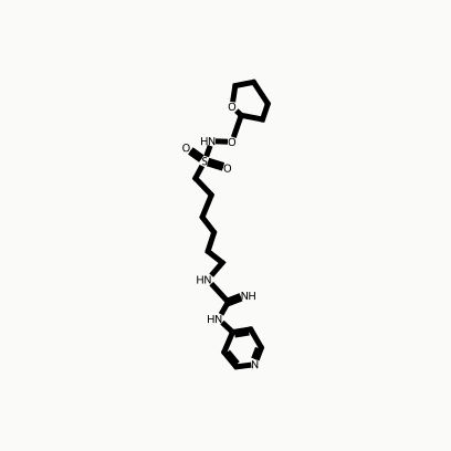 N=C(NCCCCCCS(=O)(=O)NOC1CCCCO1)Nc1ccncc1